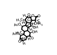 CC(=O)O[C@H]1CC2C([C@@H]3[C@@H](O)[C@@H]4[C@H]([C@H](C)[C@H]5O[C@]56OC(=O)[C@@](C)(O)[C@]46C)[C@@]13C)[C@@H](O)C(=O)[C@H]1C[C@@H]3O[C@@H]3[C@H](OC(C)=O)[C@]21C